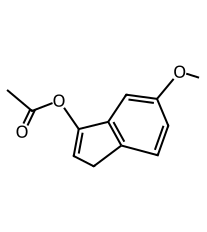 COc1ccc2c(c1)C(OC(C)=O)=CC2